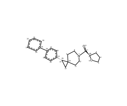 O=C([C@H]1CCCO1)N1CCC2(CC1)C[C@@H]2c1ccc(-c2ccccc2)cc1